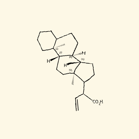 C=CC(C(=O)O)C1CC[C@H]2[C@@H]3CCC4CCCC[C@]4(C)[C@H]3CC[C@]12C